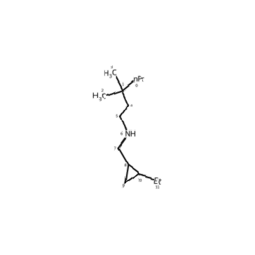 CCCC(C)(C)CCNCC1CC1CC